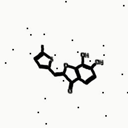 Cc1ccc(/C=C2\Oc3c(ccc(O)c3O)C2=O)s1